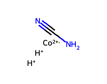 N#CN.[Co+2].[H+].[H+]